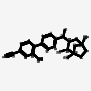 CN(c1ccc(-c2ccc(C#N)cc2O)nn1)[C@H]1C[C@@H]2CC[C@@H](C2)[C@H]1F